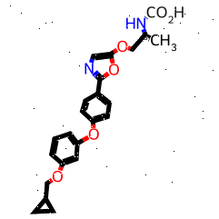 C[C@@H](COc1cnc(-c2ccc(Oc3cccc(OCC4CC4)c3)cc2)o1)NC(=O)O